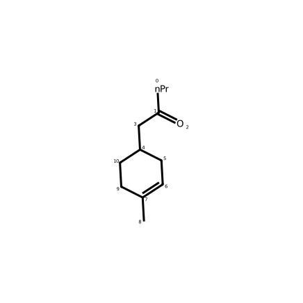 CCCC(=O)CC1CC=C(C)CC1